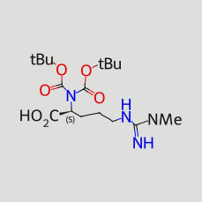 CNC(=N)NCCC[C@@H](C(=O)O)N(C(=O)OC(C)(C)C)C(=O)OC(C)(C)C